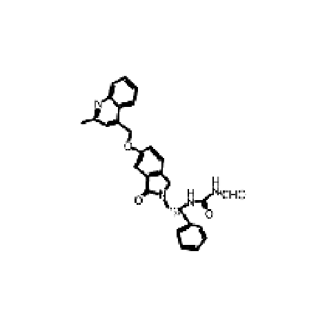 Cc1cc(COc2ccc3c(c2)C(=O)N(C[C@H](NC(=O)NC=O)c2ccccc2)C3)c2ccccc2n1